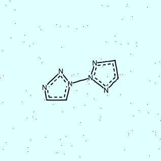 [c]1cn(-n2nccn2)nn1